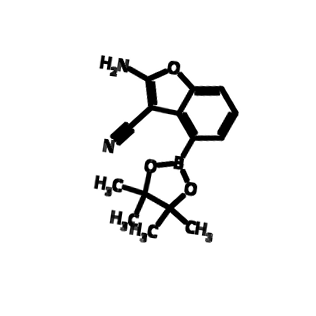 CC1(C)OB(c2cccc3oc(N)c(C#N)c23)OC1(C)C